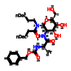 CCCCCCCCCCCCN(C(=O)CCCCCCCCCCC)[C@@H]1O[C@H](CO)[C@@H](O)[C@H](O)[C@H]1NC(=O)[C@@H](NC(=O)OCc1ccccc1)C(C)C